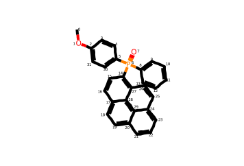 COc1ccc(P(=O)(c2ccccc2)c2ccc3ccc4cccc5ccc2c3c45)cc1